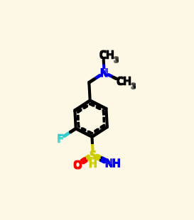 CN(C)Cc1ccc([SH](=N)=O)c(F)c1